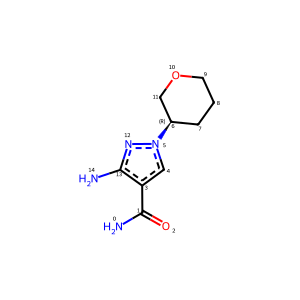 NC(=O)c1cn([C@@H]2CCCOC2)nc1N